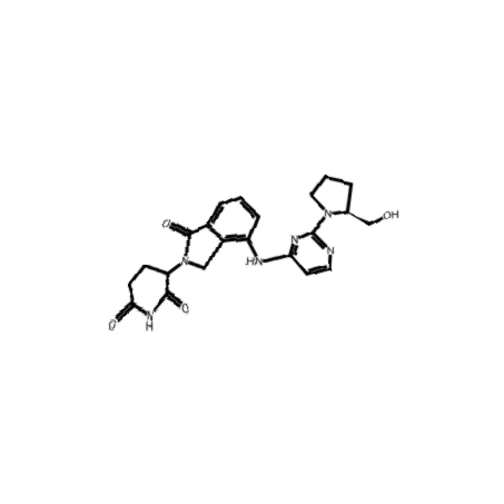 O=C1CCC(N2Cc3c(Nc4ccnc(N5CCC[C@H]5CO)n4)cccc3C2=O)C(=O)N1